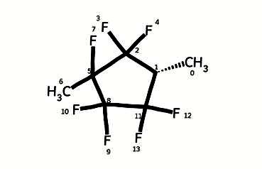 C[C@H]1C(F)(F)C(C)(F)C(F)(F)C1(F)F